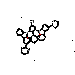 N#Cc1cc(-n2c3ccccc3c3cc(-c4ncccn4)ccc32)c(-c2c(F)cccc2F)c(-n2c3ccccc3c3cc(-c4ncccn4)ccc32)c1